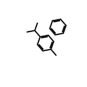 Cc1ccc(C(C)C)cc1.c1ccccc1